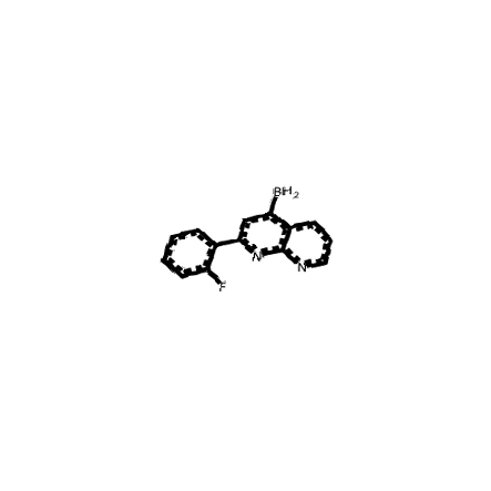 Bc1cc(-c2ccccc2F)nc2ncccc12